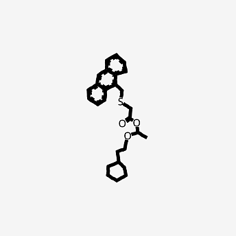 CC(OCCC1CCCCC1)OC(=O)CSCc1c2ccccc2cc2ccccc12